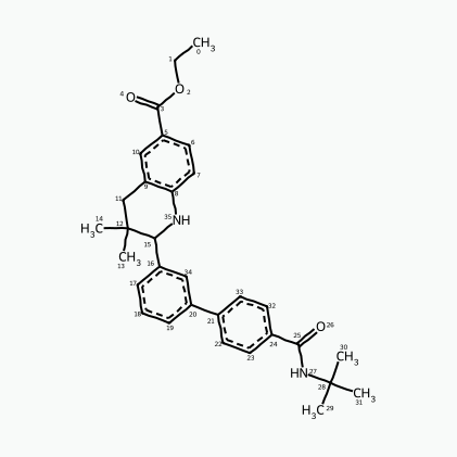 CCOC(=O)c1ccc2c(c1)CC(C)(C)C(c1cccc(-c3ccc(C(=O)NC(C)(C)C)cc3)c1)N2